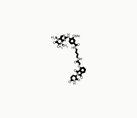 COc1cc(C(=O)NCCCCNC(=O)COc2cccc3c2C(=O)N(C2CCC(=O)NC2=O)C3=O)ccc1Nc1ncc2c(n1)N(C)[C@H](C)C(=O)N2C